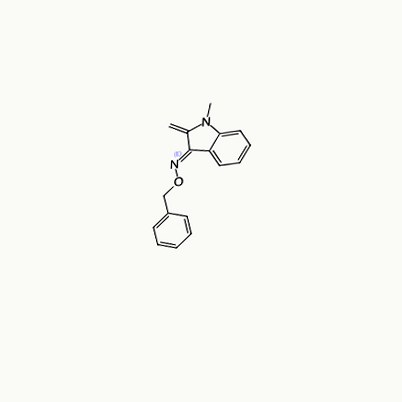 C=C1/C(=N/OCc2ccccc2)c2ccccc2N1C